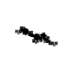 Cc1cc(C#CCNc2ccc(C(=N)N)cc2)ccc1C(=O)N1CCCC1CC(=O)NCC(=O)O